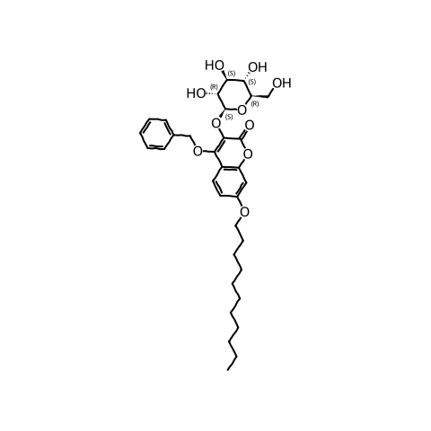 CCCCCCCCCCCOc1ccc2c(OCc3ccccc3)c(O[C@@H]3O[C@H](CO)[C@@H](O)[C@H](O)[C@H]3O)c(=O)oc2c1